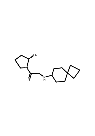 N#C[C@@H]1CCCN1C(=O)CNC1CCC2(CCC2)CC1